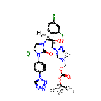 CCOC(=O)[C@H](C)OC(=O)OCN1[C+]=NN(C[C@@](O)(c2ccc(F)cc2F)[C@@H](C)N2CCN(c3ccc(-n4cnnn4)cc3)C2=O)C1.[Cl-]